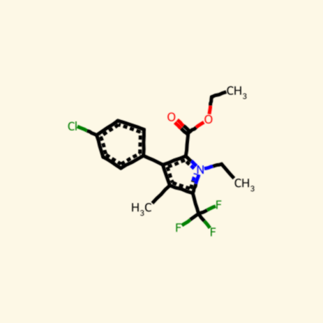 CCOC(=O)c1c(-c2ccc(Cl)cc2)c(C)c(C(F)(F)F)n1CC